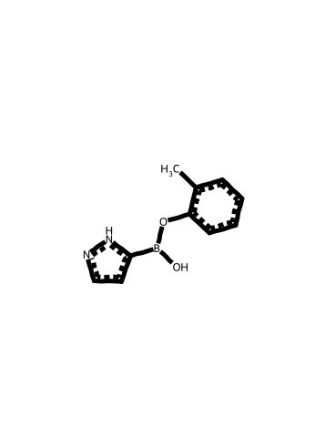 Cc1ccccc1OB(O)c1ccn[nH]1